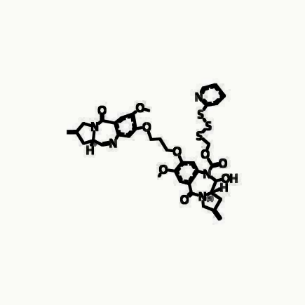 C=C1C[C@H]2C=Nc3cc(OCCCOc4cc5c(cc4OC)C(=O)N4CC(=C)C[C@H]4C(O)N5C(=O)OCSSSc4ccccn4)c(OC)cc3C(=O)N2C1